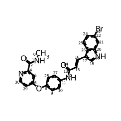 CNC(=O)c1cc(Oc2ccc(NC(=O)C=Cc3c[nH]c4cc(Br)ccc34)cc2)ccn1